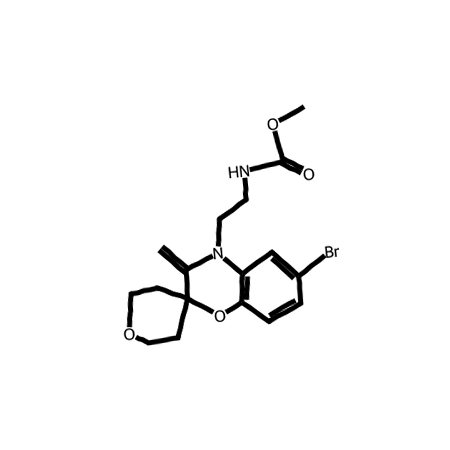 C=C1N(CCNC(=O)OC)c2cc(Br)ccc2OC12CCOCC2